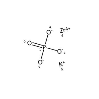 O=P([O-])([O-])[O-].[K+].[Zr+4]